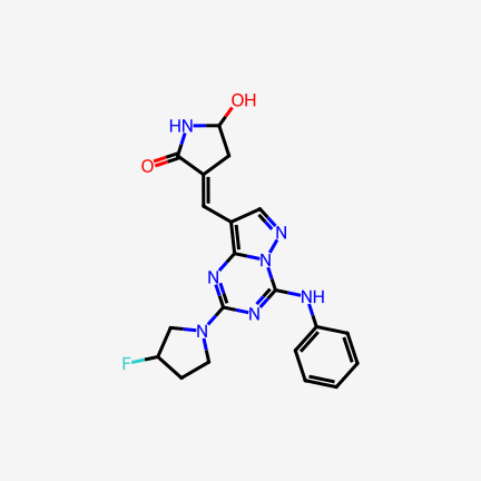 O=C1NC(O)C/C1=C\c1cnn2c(Nc3ccccc3)nc(N3CCC(F)C3)nc12